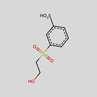 O=S(=O)(O)c1[c]ccc(S(=O)(=O)CCO)c1